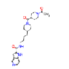 CC(=O)N1CCC(C(=O)N2CCC(CCCCNC(=O)c3cc4cnccc4[nH]3)CC2)CC1